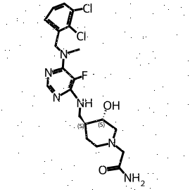 CN(Cc1cccc(Cl)c1Cl)c1ncnc(NC[C@@H]2CCN(CC(N)=O)C[C@H]2O)c1F